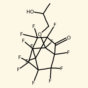 CC(O)COC1(F)C2(F)C(=O)C3(F)C(F)(F)C(F)(C2(F)F)C(F)(F)C1(F)C3(F)F